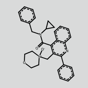 O=C(c1c(C[N+]2([O-])CCOCC2)c(-c2ccccc2)nc2ccccc12)N(Cc1ccccc1)C1CC1